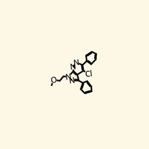 COCCn1nc(-c2ccccc2)c2c(Cl)c(-c3ccccc3)nnc21